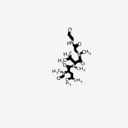 CC(C)CC(C(=O)N(C)C(C(=O)N(C)CC(=O)NCC=O)C(C)C)N(C)C=O